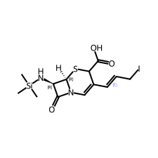 C[Si](C)(C)N[C@@H]1C(=O)N2C=C(/C=C/CI)C(C(=O)O)S[C@H]12